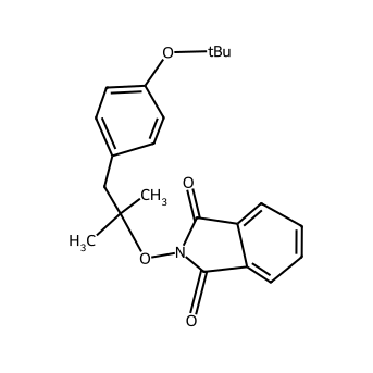 CC(C)(C)Oc1ccc(CC(C)(C)ON2C(=O)c3ccccc3C2=O)cc1